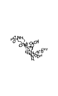 N=C(NCCCCNC(=O)CC[C@H](N)C(=O)O)N(CCN(CC(=O)O)CC(=O)O)CCN(CC(=O)O)CC(=O)O